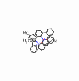 C=C(C#N)/C=C\c1c(C)c2ccccc2n1-c1ccc(C#N)c(C2=CCCC=C2c2cccc(C#N)c2-n2c3ccccc3c3ccccc32)c1